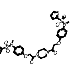 CN(c1ccc(OCC(=O)N2CCN(C(=O)COc3ccc(N(C)S(=O)(=O)c4cccs4)cc3)CC2)cc1)S(=O)(=O)c1cccs1